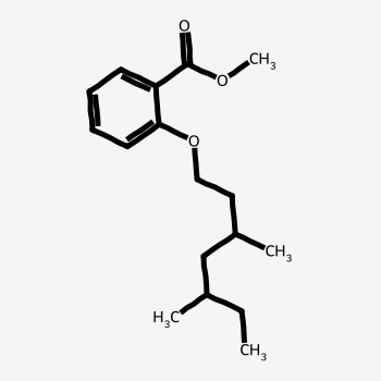 CCC(C)CC(C)CCOc1ccccc1C(=O)OC